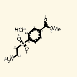 COC(=O)c1ccc(S(=O)(=O)CCN)cc1.Cl